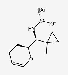 CC1([C@H](N[S@@+]([O-])C(C)(C)C)[C@@H]2CCC=CO2)CC1